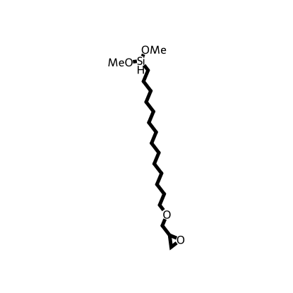 CO[SiH](CCCCCCCCCCCCCCOCC1CO1)OC